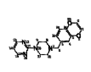 C1=COc2cc(CN3CCN(c4ncccn4)CC3)ccc2O1